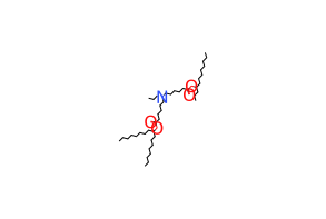 CCCCCCCCC(CCC)OC(=O)CCCCCN(CCC)CCCCCC(=O)OC(CCCCCCCC)CCCCCCCC